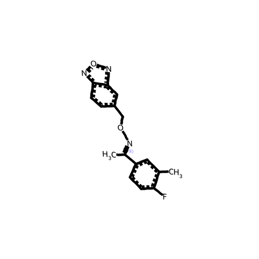 C/C(=N\OCc1ccc2nonc2c1)c1ccc(F)c(C)c1